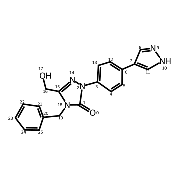 O=c1n(-c2ccc(-c3cn[nH]c3)cc2)nc(CO)n1Cc1ccccc1